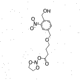 O=C(CCCOCc1ccc(CO)c([N+](=O)[O-])c1)ON1OCCO1